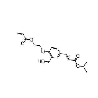 C=CC(=O)OCCOc1ccc(/C=C/C(=O)OC(C)C)cc1CO